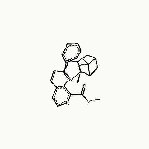 COC(=O)c1nccc(/C=C\B2OC3CC4CC(C4(C)C)[C@]3(C)O2)c1OCc1ccccc1